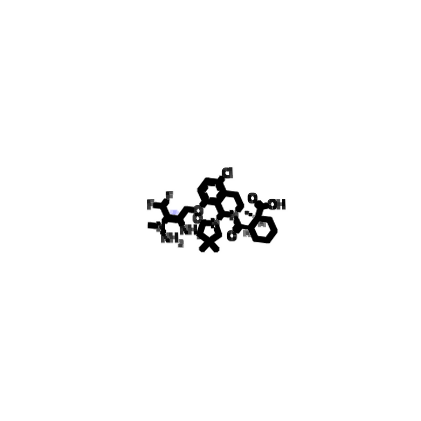 CN(N)/C(=C(\N)COc1ccc(Cl)c2c1C(N1CC(C)(C)CC1=O)N(C(=O)[C@@H]1CCCC[C@]1(C)C(=O)O)CC2)C(F)F